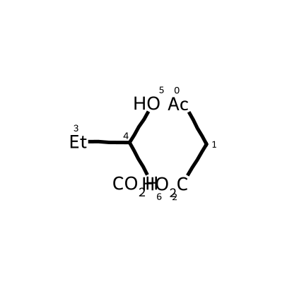 CC(=O)CC(=O)O.CCC(O)C(=O)O